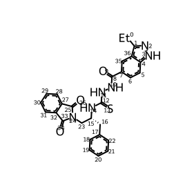 CCc1n[nH]c2ccc(C(=O)NNC(=S)N[C@H](Cc3ccccc3)CN3C(=O)c4ccccc4C3=O)cc12